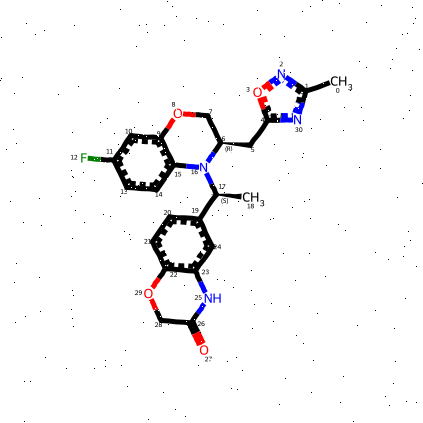 Cc1noc(C[C@@H]2COc3cc(F)ccc3N2[C@@H](C)c2ccc3c(c2)NC(=O)CO3)n1